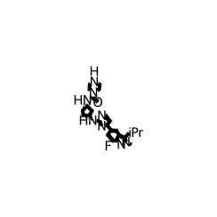 CC(C)c1c2cc(-c3ccnc(N[C@H]4CC[C@H](NC(=O)N5CCNCC5)C4)n3)cc(F)c2nn1C